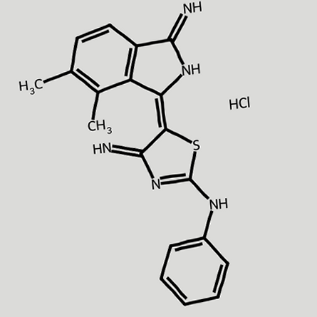 Cc1ccc2c(c1C)C(=C1SC(Nc3ccccc3)=NC1=N)NC2=N.Cl